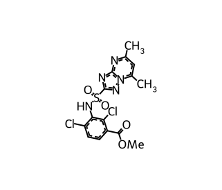 COC(=O)c1ccc(Cl)c(NS(=O)(=O)c2nc3nc(C)cc(C)n3n2)c1Cl